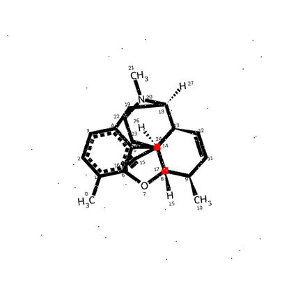 Cc1ccc2c3c1O[C@H]1[C@@]4(C)C=C[C@@]5([C@H](C#N)S4)[C@@H](C2)N(C)CC[C@]315